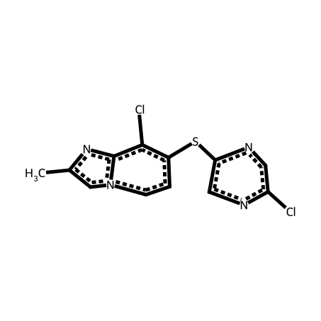 Cc1cn2ccc(Sc3cnc(Cl)cn3)c(Cl)c2n1